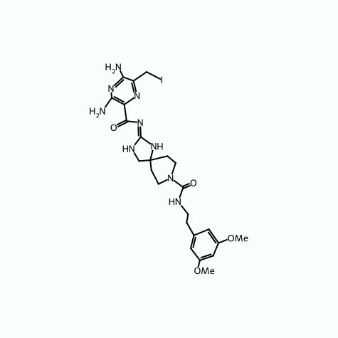 COc1cc(CCNC(=O)N2CCC3(CC2)CN/C(=N\C(=O)c2nc(CI)c(N)nc2N)N3)cc(OC)c1